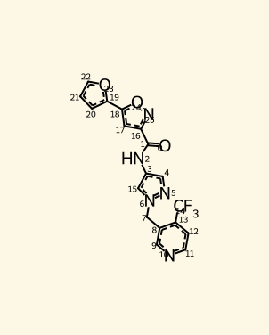 O=C(Nc1cnn(Cc2cnccc2C(F)(F)F)c1)c1cc(-c2ccco2)on1